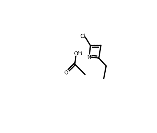 CC(=O)O.CCC1=NC(Cl)=C1